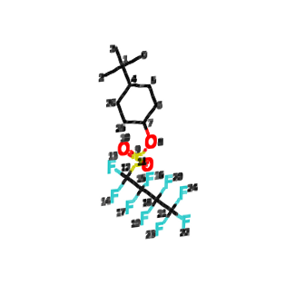 CC(C)(C)C1CCC(OS(=O)(=O)C(F)(F)C(F)(F)C(F)(F)C(F)(F)F)CC1